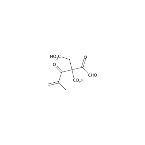 C=C(C)C(=O)C(CC(=O)O)(C(=O)O)C(=O)C=O